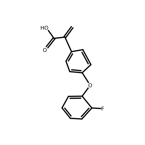 C=C(C(=O)O)c1ccc(Oc2ccccc2F)cc1